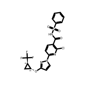 O=C(NS(=O)(=O)c1ccccc1)c1ccc(-n2ccc(O[C@@H]3C[C@H]3C(F)(F)F)n2)nc1Cl